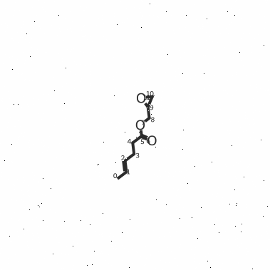 C/C=C/CCC(=O)OCC1CO1